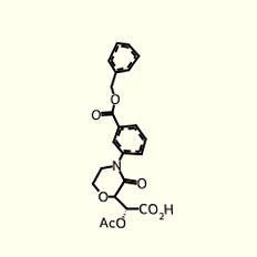 CC(=O)O[C@@H](C(=O)O)C1OCCN(c2cccc(C(=O)OCc3ccccc3)c2)C1=O